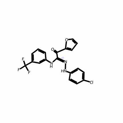 O=C(/C(=N/Nc1ccc(Cl)cc1)Nc1cccc(C(F)(F)F)c1)c1ccco1